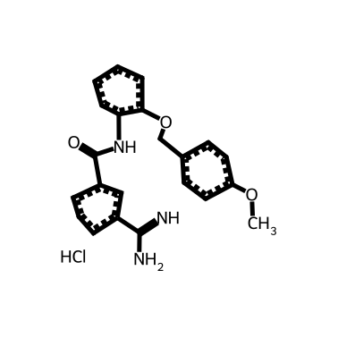 COc1ccc(COc2ccccc2NC(=O)c2cccc(C(=N)N)c2)cc1.Cl